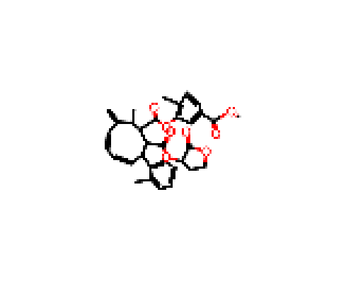 C=C1/C=C\C=C/C(c2ccccc2C)C(C(=O)OC2CCOC2=O)C(C(=O)Oc2cc(C(=O)OC)ccc2C)C1C